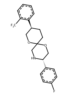 Fc1ccc([C@H]2COC3(CC[C@H](c4ccccc4C(F)(F)F)CO3)CN2)cc1